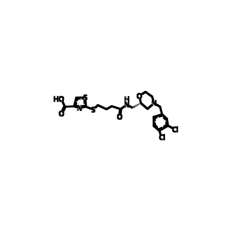 O=C(CCCSc1nc(C(=O)O)cs1)NC[C@H]1CN(Cc2ccc(Cl)c(Cl)c2)CCO1